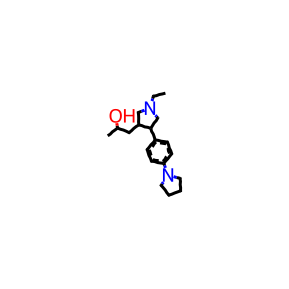 CCN1CC(CC(C)O)C(c2ccc(N3CCCC3)cc2)C1